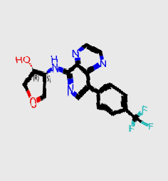 O[C@H]1COC[C@@H]1Nc1ncc(-c2ccc(C(F)(F)F)cc2)c2nccnc12